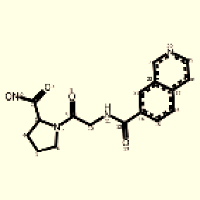 O=NC(=O)C1CCCN1C(=O)CNC(=O)c1ccc2ccncc2c1